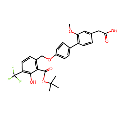 COc1cc(CC(=O)O)ccc1-c1ccc(OCc2ccc(C(F)(F)F)c(O)c2C(=O)OC(C)(C)C)cc1